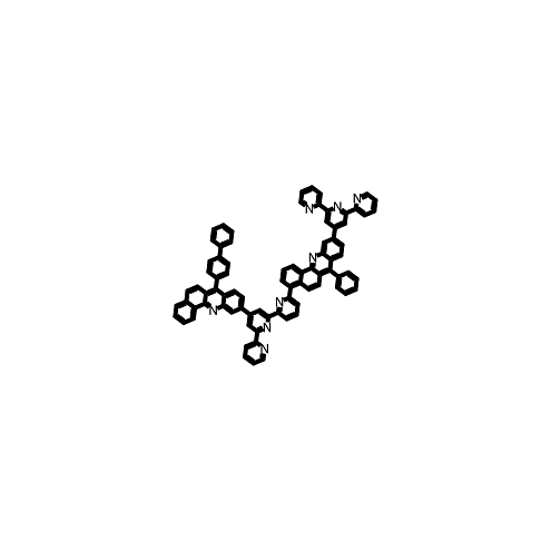 c1ccc(-c2ccc(-c3c4ccc(-c5cc(-c6ccccn6)nc(-c6cccc(-c7cccc8c7ccc7c(-c9ccccc9)c9ccc(-c%10cc(-c%11ccccn%11)nc(-c%11ccccn%11)c%10)cc9nc78)n6)c5)cc4nc4c3ccc3ccccc34)cc2)cc1